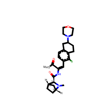 COC(=O)/C(=C\c1ccc2c(c1F)CCC(N1CCOCC1)C2)NC(=O)[C@@H]1[C@H]2CC[C@H](C2)N1C